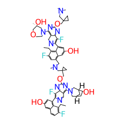 CCc1c(F)ccc2cc(O)cc(-c3ncc4c(N5C[C@@H]6C[C@H](C5)[C@H](O)C6)nc(OCC5(CN(C)Cc6cc(F)c(CC)c7c(-c8ncc9c(N%10CCOC[C@@](C)(O)C%10)nc(OCC%10(CN(C)C)CC%10)nc9c8F)cc(O)cc67)CC5)nc4c3F)c12